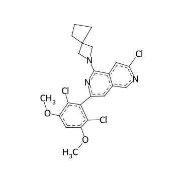 COc1cc(OC)c(Cl)c(-c2cc3cnc(Cl)cc3c(N3CC4(CCC4)C3)n2)c1Cl